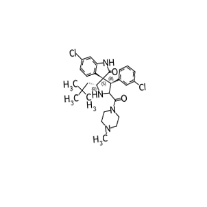 CN1CCN(C(=O)C2N[C@H](CC(C)(C)C)[C@]3(C(=O)Nc4cc(Cl)ccc43)[C@H]2c2cccc(Cl)c2)CC1